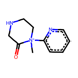 C[N+]1(c2cc[c]cn2)CCNCC1=O